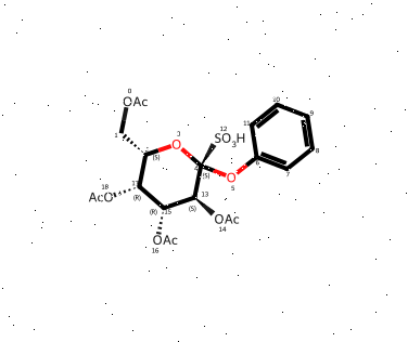 CC(=O)OC[C@@H]1O[C@@](Oc2ccccc2)(S(=O)(=O)O)[C@@H](OC(C)=O)[C@H](OC(C)=O)[C@@H]1OC(C)=O